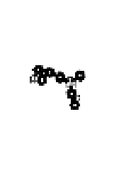 N#Cc1cccc2c1C1(CCCCC1)c1cc(-c3ccc(-c4nc(C5=Cc6oc7ccccc7c6CC5)nc(-c5ccccc5)n4)cc3)ccc1-2